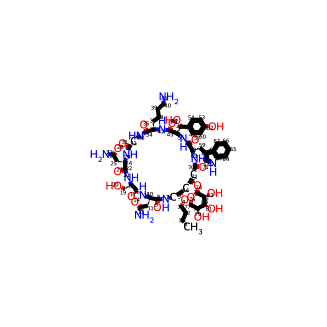 CCCCOC1CNC(=O)[C@H](CC(N)=O)NC(=O)[C@H](CO)NC(=O)[C@H](CC(N)=O)NC(=O)CNC(=O)[C@H](CCCCN)NC(=O)[C@H](C(O)c2ccc(O)cc2)NC(=O)[C@H](Cc2c[nH]c3ccccc23)NC(=O)CC(OC2OC[C@@H](O)[C@H](O)[C@H]2O)C1